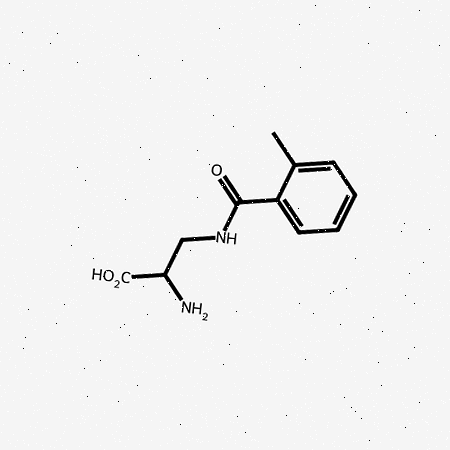 Cc1ccccc1C(=O)NCC(N)C(=O)O